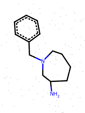 NC1CCCCN(Cc2ccccc2)C1